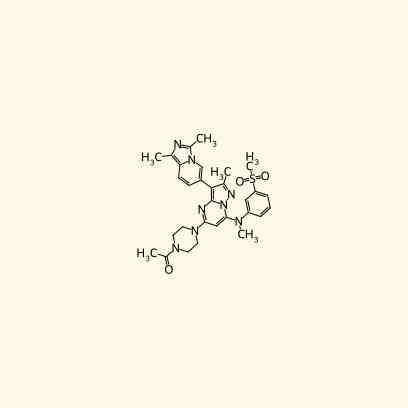 CC(=O)N1CCN(c2cc(N(C)c3cccc(S(C)(=O)=O)c3)n3nc(C)c(-c4ccc5c(C)nc(C)n5c4)c3n2)CC1